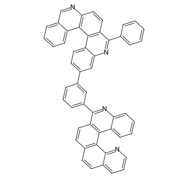 c1ccc(-c2nc3cc(-c4cccc(-c5nc6ccccc6c6c5ccc5ccc7cccnc7c56)c4)ccc3c3c2ccc2ncc4ccccc4c23)cc1